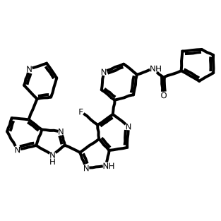 O=C(Nc1cncc(-c2ncc3[nH]nc(-c4nc5c(-c6cccnc6)ccnc5[nH]4)c3c2F)c1)c1ccccc1